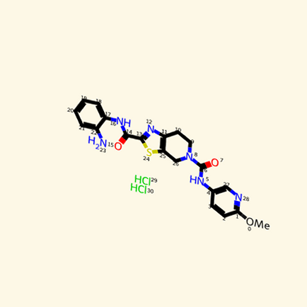 COc1ccc(NC(=O)N2CCc3nc(C(=O)Nc4ccccc4N)sc3C2)cn1.Cl.Cl